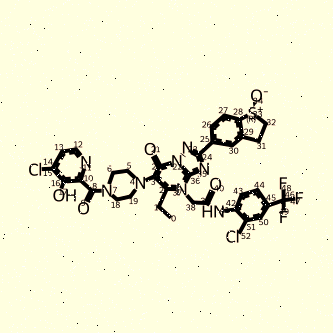 CCc1c(N2CCN(C(=O)c3nccc(Cl)c3O)CC2)c(=O)n2nc(-c3ccc4c(c3)CC[S@+]4[O-])nc2n1CC(=O)Nc1ccc(C(F)(F)F)cc1Cl